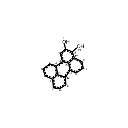 Oc1[c]c2c3cccc4cccc(c5cccc(c1O)c25)c43